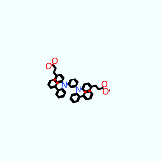 COC(=O)CCc1ccc(N(c2cccc(N(c3ccc(CCC(=O)OC)cc3)c3ccccc3-c3ccccc3)c2)c2ccccc2-c2ccccc2)cc1